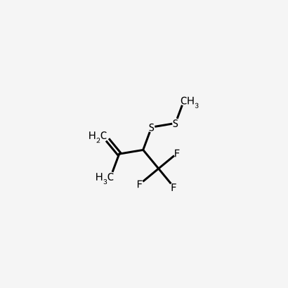 C=C(C)C(SSC)C(F)(F)F